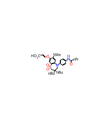 CCCCC1(CCCC)CN(c2ccc(NC(=O)CCC)cc2)c2cc(SC)c(O/C=C/C(=O)O)cc2S(=O)(=O)C1